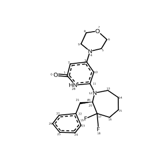 O=c1cc(N2CCOCC2)cc(N2CCCCC(F)(F)[C@H]2Cc2ccccc2)[nH]1